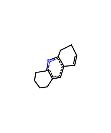 C1=Cc2cc3c(nc2CC1)CCCC3